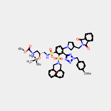 COc1ccc(Cn2nnc(-c3c(N4CC=C(CN5C(=O)c6ccccc6C5=O)C4)ccc(S(=O)(=O)NC[C@@H](CNC(=O)OC(C)(C)C)O[Si](C)(C)C(C)(C)C)c3S(=O)(=O)N(Cc3ccccc3)Cc3ccccc3)n2)cc1